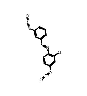 O=C=Nc1cccc(/N=N/c2ccc(N=C=O)cc2Cl)c1